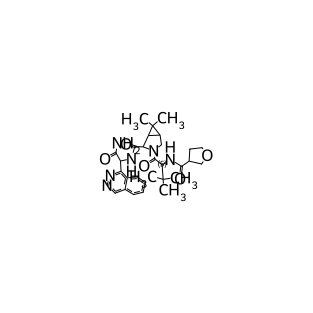 CC1(C)C2CN(C(=O)[C@@H](NC(=O)C3CCOC3)C(C)(C)C)C(C(=O)NC(C(N)=O)c3nncc4ccccc34)C21